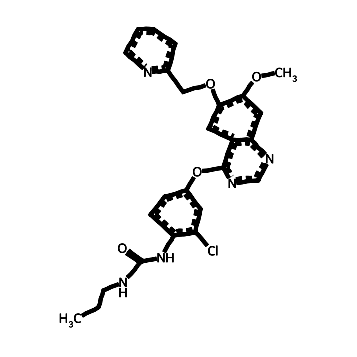 CCCNC(=O)Nc1ccc(Oc2ncnc3cc(OC)c(OCc4ccccn4)cc23)cc1Cl